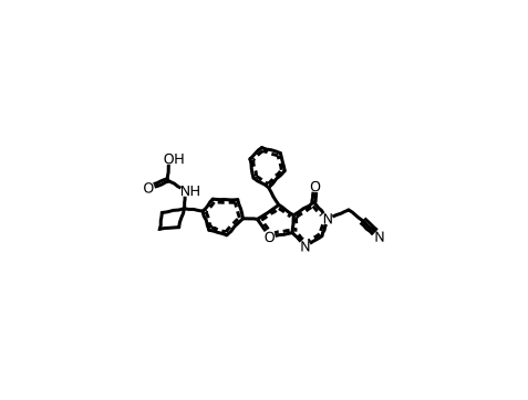 N#CCn1cnc2oc(-c3ccc(C4(NC(=O)O)CCC4)cc3)c(-c3ccccc3)c2c1=O